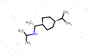 CC(C)N[C@H](C)[C@H]1CC[C@@H](C(C)C)CC1